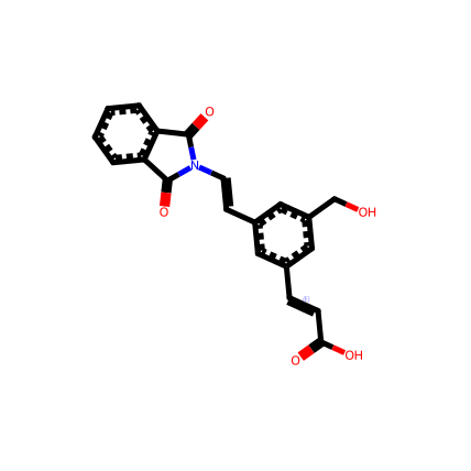 O=C(O)/C=C/c1cc(C=CN2C(=O)c3ccccc3C2=O)cc(CO)c1